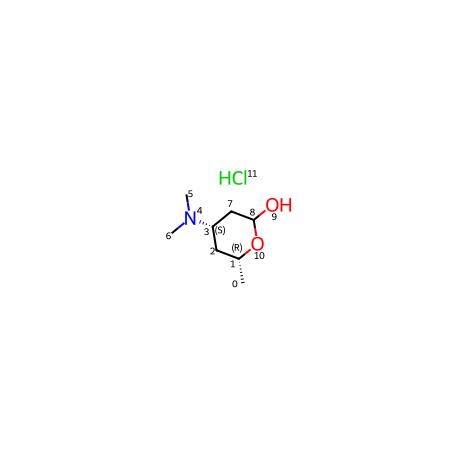 C[C@@H]1C[C@H](N(C)C)CC(O)O1.Cl